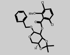 COc1c(Cl)ccc(Cl)c1C(=O)OC1C2OC(C)(C)O[C@H]2CO[C@H]1OCc1ccccc1